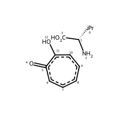 CC(C)[C@H](N)C(=O)O.O=c1cccccc1O